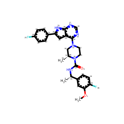 COc1cc([C@H](C)NC(=O)N2CCN(c3ncnc4[nH]c(-c5ccc(F)cc5)cc34)C[C@H]2C)ccc1F